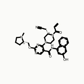 C=CC(=O)N1CCN(c2nc(OC[C@@H]3CCCN3C)ncc2C(=O)Nc2cc(O)cc3ccccc23)C[C@@H]1CC#N